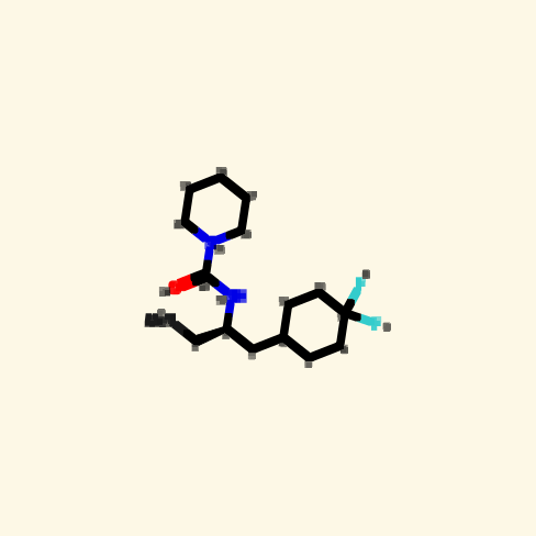 CNC[C@H](CC1CCC(F)(F)CC1)NC(=O)N1CCCCC1